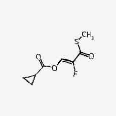 CSC(=O)C(F)=COC(=O)C1CC1